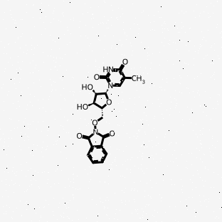 Cc1cn([C@@H]2O[C@H](CON3C(=O)c4ccccc4C3=O)[C@@H](O)[C@H]2O)c(=O)[nH]c1=O